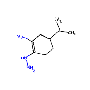 CC(C)C1CCC(NN)=C(N)C1